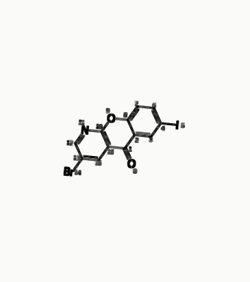 O=c1c2cc(I)ccc2oc2ncc(Br)cc12